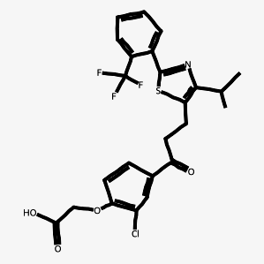 CC(C)c1nc(-c2ccccc2C(F)(F)F)sc1CCC(=O)c1ccc(OCC(=O)O)c(Cl)c1